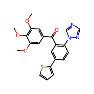 COc1cc(C(=O)c2cc(-c3cccs3)ccc2-n2cncn2)cc(OC)c1OC